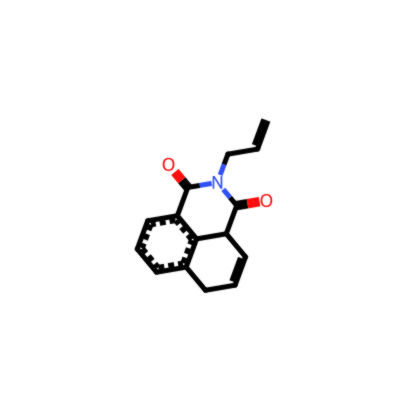 C=CCN1C(=O)c2cccc3c2C(C=CC3)C1=O